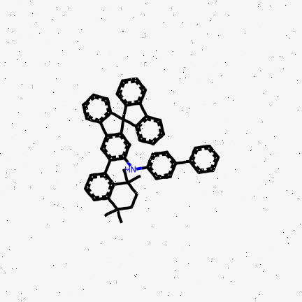 CC1(C)CCC(C)(C)c2c(-c3cc4c(cc3Nc3ccc(-c5ccccc5)cc3)C3(c5ccccc5-c5ccccc53)c3ccccc3-4)cccc21